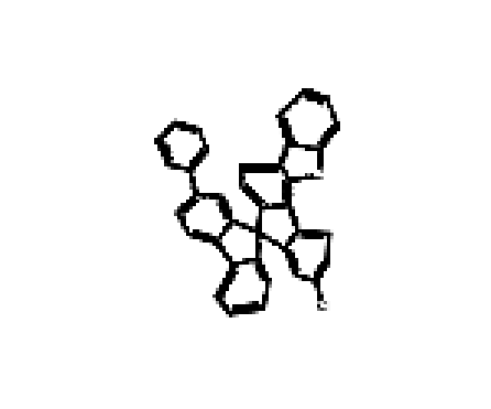 Clc1ccc2c(c1)C1(c3ccccc3-c3ccc(-c4ccccc4)cc31)c1ccc3c(oc4ccccc43)c1-2